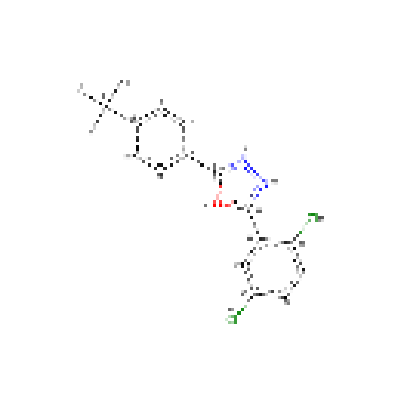 CC(C)(C)c1ccc(-c2nnc(-c3cc(Cl)ccc3Cl)o2)cc1